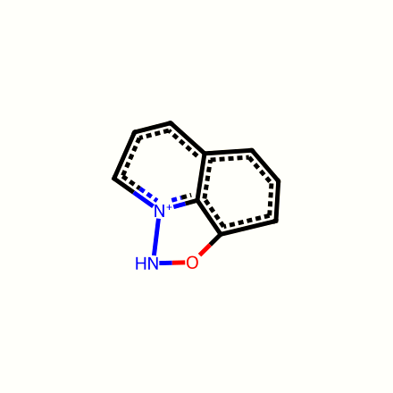 c1cc2c3c(c1)ccc[n+]3NO2